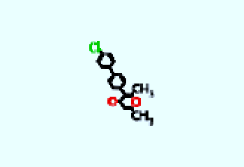 Cc1cc(=O)c(-c2ccc(-c3ccc(Cl)cc3)cc2)c(C)o1